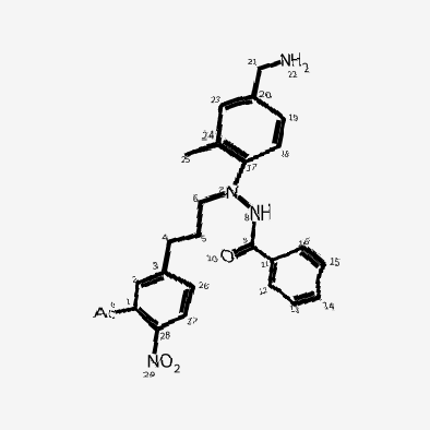 CC(=O)c1cc(CCCN(NC(=O)c2ccccc2)c2ccc(CN)cc2C)ccc1[N+](=O)[O-]